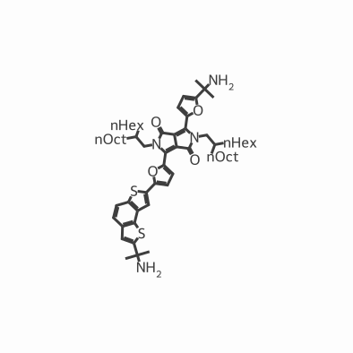 CCCCCCCCC(CCCCCC)CN1C(=O)C2=C(c3ccc(C(C)(C)N)o3)N(CC(CCCCCC)CCCCCCCC)C(=O)C2=C1c1ccc(-c2cc3c(ccc4cc(C(C)(C)N)sc43)s2)o1